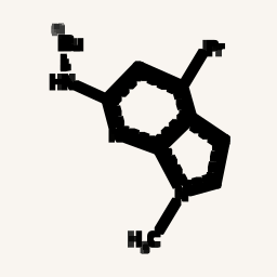 CC[C@@H](C)Nc1cc(C(C)C)c2ccn(C)c2n1